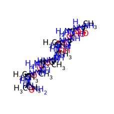 CN[C@@H](CCC(=O)O)CNCC(=O)N[C@@H](CCCN)CNCC(=O)N[C@@H](CCCN)CNCC(=O)N[C@H](CNCNC(CNCN[C@H](CNCC(=O)N[C@@H](CCCN)CNCC(=O)N[C@@H](C)CNCC(=O)N[C@H](CNCN[C@H](CNCC(N)=O)CC(C)C)CC(C)C)CC(C)C)C(C)O)CC(C)C